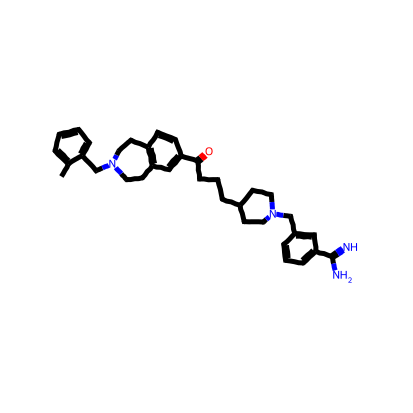 Cc1ccccc1CN1CCc2ccc(C(=O)CCCC3CCN(Cc4cccc(C(=N)N)c4)CC3)cc2CC1